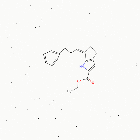 CCOC(=O)c1cc2c([nH]1)/C(=C\CCc1ccccc1)CC2